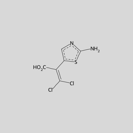 Nc1ncc(C(C(=O)O)=C(Cl)Cl)s1